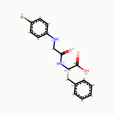 O=C(CNc1ccc(Br)cc1)N[C@@H](Cc1ccccc1)C(=O)O